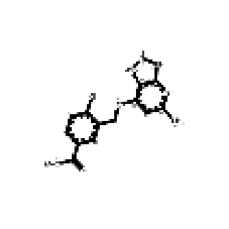 COC(=O)c1ccc(Cl)c(COc2cc(N)nc3c2NNN3)c1